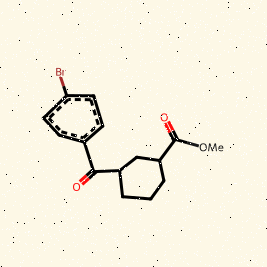 COC(=O)C1CCCC(C(=O)c2ccc(Br)cc2)C1